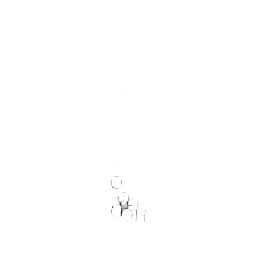 CCCCCCCCCCCCCCCCCOCC1COP(=O)(O)O1